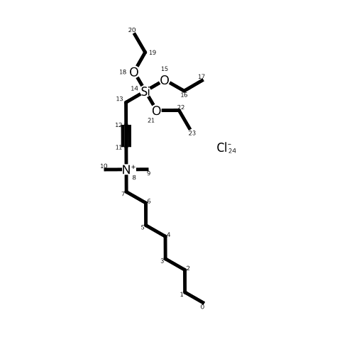 CCCCCCCC[N+](C)(C)C#CC[Si](OCC)(OCC)OCC.[Cl-]